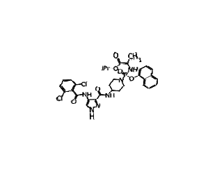 CC(C)OC(=O)C(C)NP(=O)(Oc1cccc2ccccc12)N1CCC(NC(=O)c2n[nH]cc2NC(=O)c2c(Cl)cccc2Cl)CC1